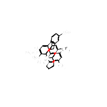 Cl.Cl.[CH2]=[Zr]([C]1=CC=CC1)([c]1cc(C(F)(F)F)cc(C(F)(F)F)c1)([c]1cc(C(F)(F)F)cc(C(F)(F)F)c1)[c]1c(C(C)(C)C)ccc2c1Cc1cc(C(C)(C)C)ccc1-2